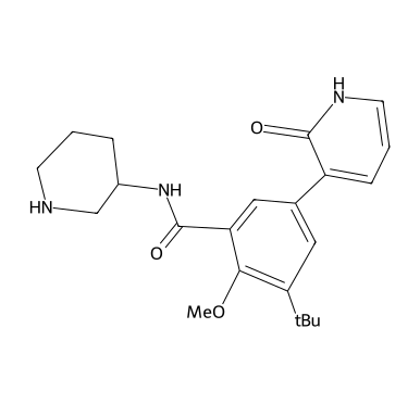 COc1c(C(=O)NC2CCCNC2)cc(-c2ccc[nH]c2=O)cc1C(C)(C)C